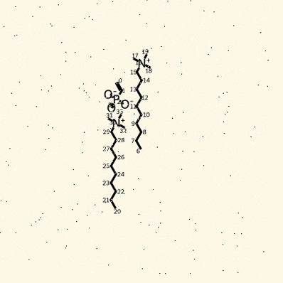 C=CP(=O)([O-])[O-].CCCCCCCCCC[N+](C)(C)C.CCCCCCCCCC[N+](C)(C)C